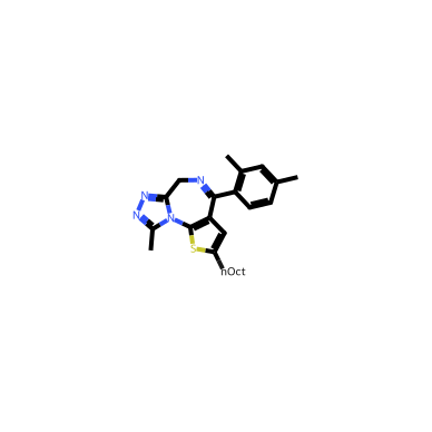 CCCCCCCCc1cc2c(s1)-n1c(C)nnc1CN=C2c1ccc(C)cc1C